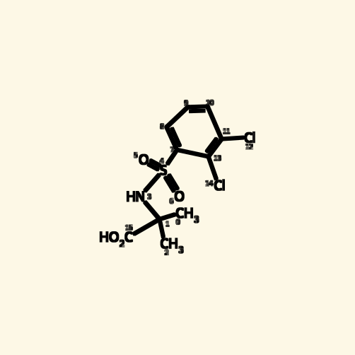 CC(C)(NS(=O)(=O)c1cccc(Cl)c1Cl)C(=O)O